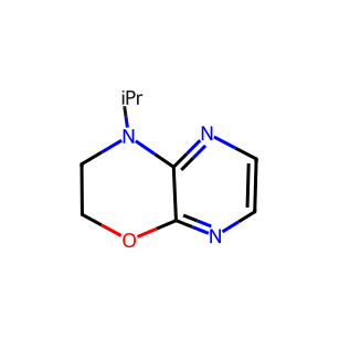 CC(C)N1CCOc2nccnc21